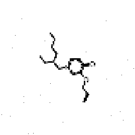 C=CCOc1cn(CC(CC)CCCC)ccc1=O